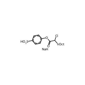 CCCCCCCCC(Cl)C(=O)Oc1ccc(S(=O)(=O)O)cc1.[NaH]